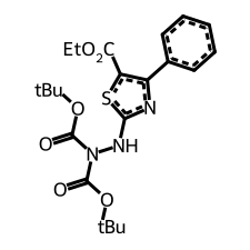 CCOC(=O)c1sc(NN(C(=O)OC(C)(C)C)C(=O)OC(C)(C)C)nc1-c1ccccc1